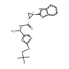 CC(NC(=O)[C@@H]1C[C@H]1c1nc2ccccc2[nH]1)c1cnc(OCC(F)(F)F)s1